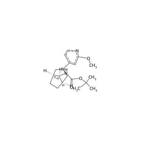 COc1cc(N2C[C@H]3CC[C@@H](C2)[C@H]3NC(=O)OC(C)(C)C)ccn1